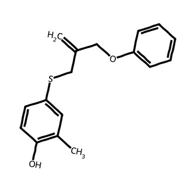 C=C(COc1ccccc1)CSc1ccc(O)c(C)c1